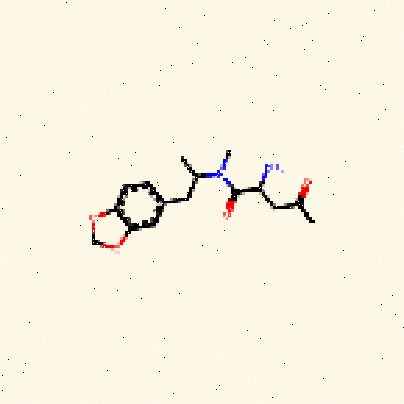 CC(=O)CC(N)C(=O)N(C)C(C)Cc1ccc2c(c1)OCO2